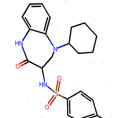 Cc1ccc(S(=O)(=O)NC2CN(C3CCCCC3)c3ccccc3NC2=O)cc1